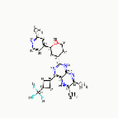 Cc1cc([C@@H]2C[C@@H](c3nc(C4CC(C(F)(F)F)C4)c4nc(C)c(C)nc4n3)CCO2)ccn1